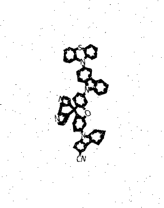 N#Cc1ccc2c(c1)c1ccccc1n2-c1ccc2c(c1)Oc1cc(-n3c4ccccc4c4cc(N5c6ccccc6Sc6ccccc65)ccc43)ccc1C21c2cccnc2-c2ncccc21